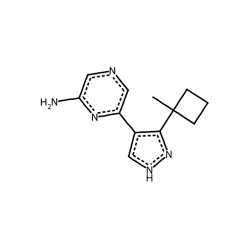 CC1(c2n[nH]cc2-c2cncc(N)n2)CCC1